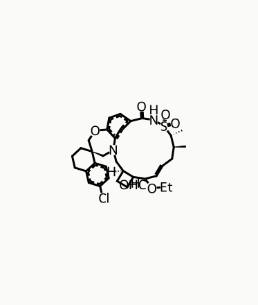 CCO[C@@]1(C=O)/C=C/C[C@H](C)[C@@H](C)S(=O)(=O)NC(=O)c2ccc3c(c2)N(C[C@@H]2CC[C@H]21)C[C@@]1(CCCc2cc(Cl)ccc21)CO3